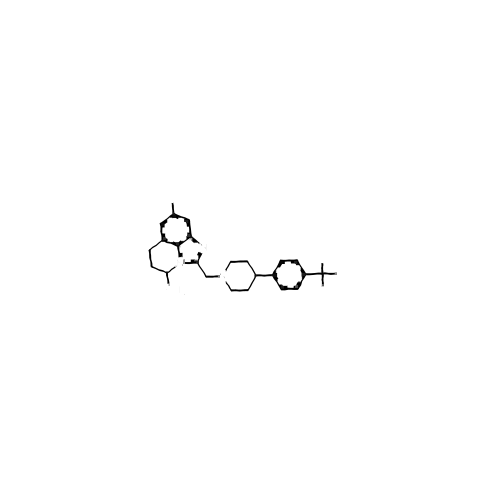 CC1CCc2cc(F)cc3nc(CN4CCC(c5ccc(C(F)(F)F)cc5)CC4)n1c23